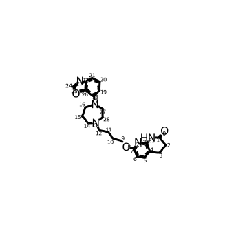 O=C1CCc2ccc(OCCCCN3CCCN(c4cccc5ncoc45)CC3)nc2N1